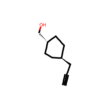 C#CC[C@H]1CC[C@H](CO)CC1